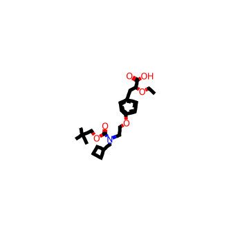 CCOC(Cc1ccc(OCCN(CC2CCC2)C(=O)OCC(C)(C)C)cc1)C(=O)O